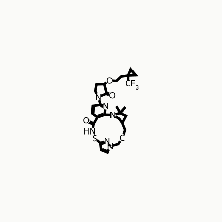 CC1(C)CC2CCCn3ccc(n3)SNC(=O)c3ccc(N4CCC(OCCC5(C(F)(F)F)CC5)C4=O)nc3N1C2